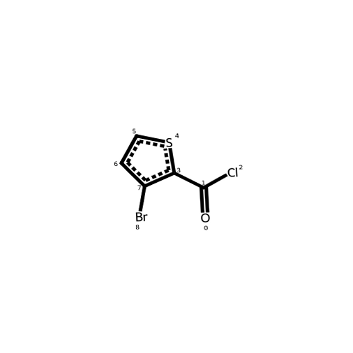 O=C(Cl)c1sccc1Br